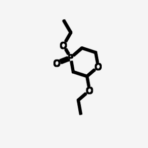 CCOC1CP(=O)(OCC)CCO1